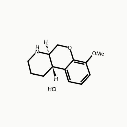 COc1cccc2c1OC[C@@H]1NCCC[C@@H]21.Cl